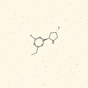 CCc1cc(F)cc([C@H]2C[C@H](F)CN2)c1